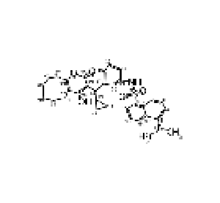 CN(C)c1cccc2c(S(=O)(=O)Nc3cccc(C(c4c(O)c5c(oc4=O)CCCCCC5)C4CC4)c3)cccc12